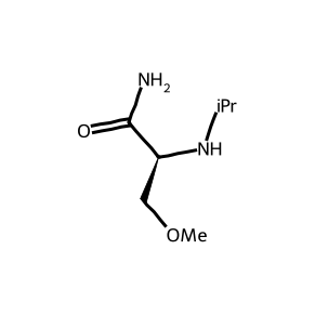 COC[C@H](NC(C)C)C(N)=O